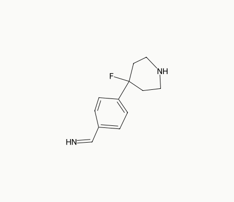 N=Cc1ccc(C2(F)CCNCC2)cc1